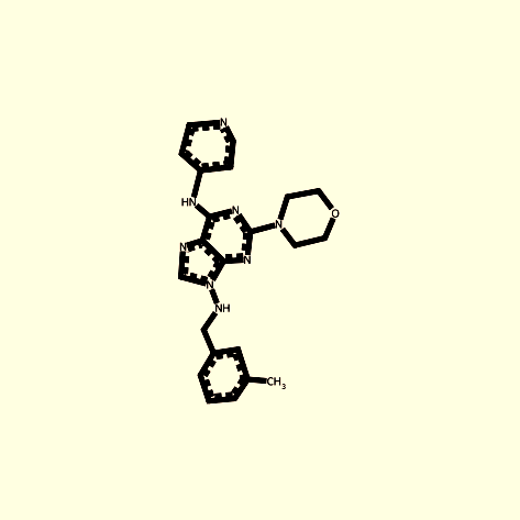 Cc1cccc(CNn2cnc3c(Nc4ccncc4)nc(N4CCOCC4)nc32)c1